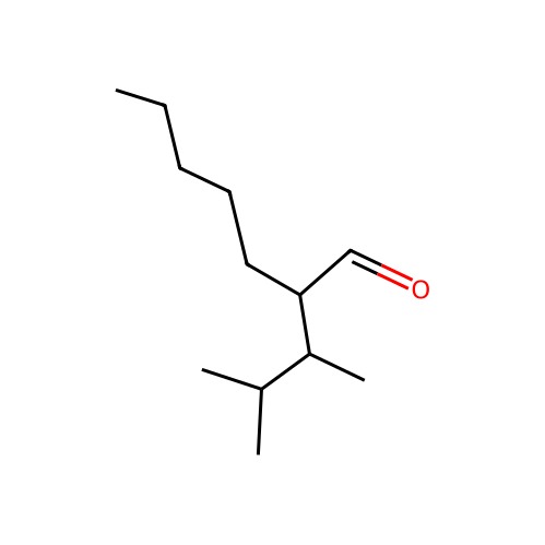 CCCCCC(C=O)C(C)C(C)C